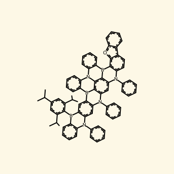 CC(C)c1cc(C(C)C)c(B2c3ccccc3N(c3ccccc3)c3cc4c(cc32)B2c3ccccc3N3c5ccccc5B5c6c(cc(c2c63)N4c2ccccc2)N(c2ccccc2)c2ccc3c(oc4ccccc43)c25)c(C(C)C)c1